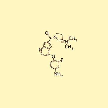 CN(C)[C@@H]1CCN(C(=O)c2cc3nccc(Oc4ccc(N)cc4F)c3s2)C1